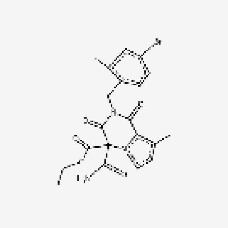 CCOC(=O)C1(C(N)=O)C(=O)N(Cc2ccc(Br)cc2F)C(=O)c2c(C)ccn21